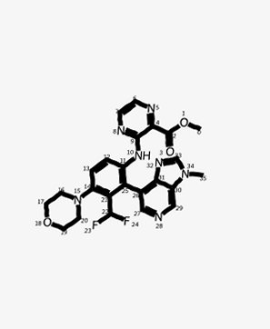 COC(=O)c1nccnc1Nc1ccc(N2CCOCC2)c(C(F)F)c1-c1cncc2c1ncn2C